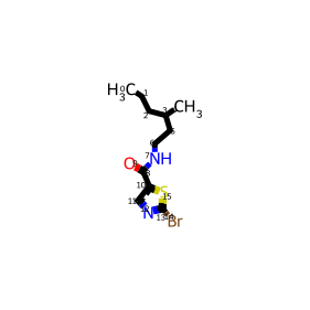 CCCC(C)CCNC(=O)c1cnc(Br)s1